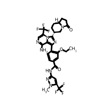 CCOc1cc(C(=O)Nc2cc(C(F)(F)F)n(C)n2)ccc1-c1nc([C@@H]2CC[C@H]3CCC(=O)N3C2)n2c(C(F)(F)F)cnc(N)c12